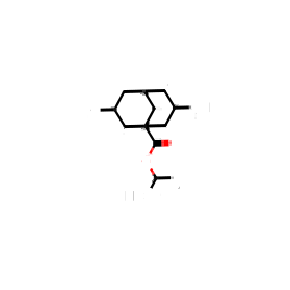 CC1CC2CC(C)CC(C(=O)OC(C)C)(C1)C2